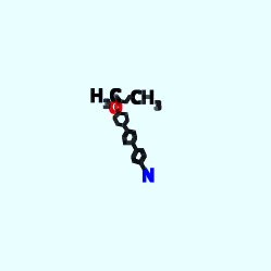 CCCC(C)OC1CCC(c2ccc(-c3ccc(C#N)cc3)cc2)CC1